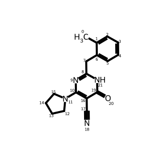 Cc1ccccc1Cc1nc(N2CCCC2)c(C#N)c(=O)[nH]1